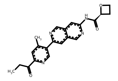 CCC(=O)c1cc(C)c(-c2cc3cnc(NC(=O)[C@@H]4CCO4)cc3cn2)cn1